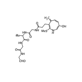 C=C1/C=C\C(O)=C/N/C(SC)=C\1CCC(=O)NCC(=O)NC(C(=O)NCC(=O)NCC=O)C(C)CC